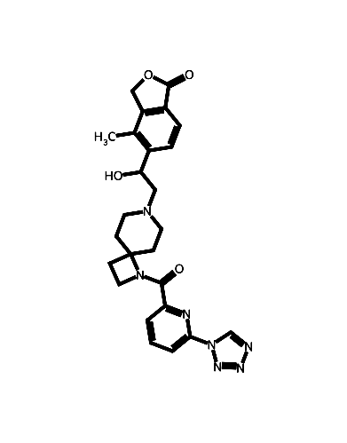 Cc1c(C(O)CN2CCC3(CC2)CCN3C(=O)c2cccc(-n3cnnn3)n2)ccc2c1COC2=O